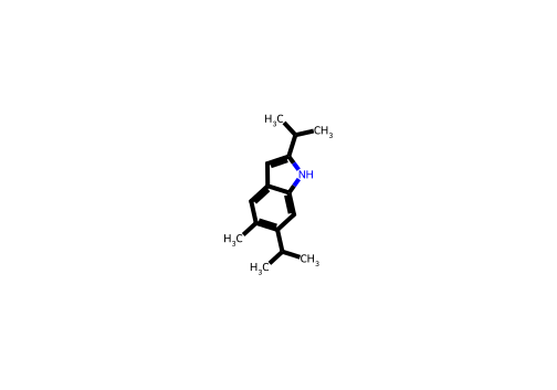 Cc1cc2cc(C(C)C)[nH]c2cc1C(C)C